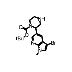 Cn1cc(Br)c2cc(C3CNCCN3C(=O)OC(C)(C)C)cnc21